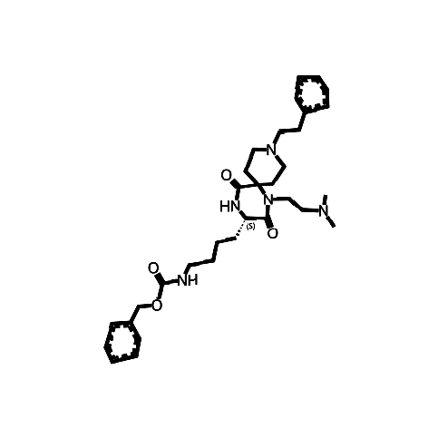 CN(C)CCN1C(=O)[C@H](CCCCNC(=O)OCc2ccccc2)NC(=O)C12CCN(CCc1ccccc1)CC2